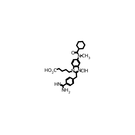 CN(C(=O)C1CCCCC1)c1ccc2c(c1)nc(Cc1ccc(C(=N)N)cc1)n2CCCCC(=O)O.Cl